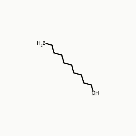 BCCCCCCCCCO